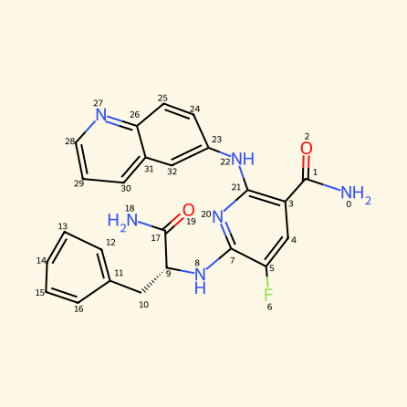 NC(=O)c1cc(F)c(N[C@H](Cc2ccccc2)C(N)=O)nc1Nc1ccc2ncccc2c1